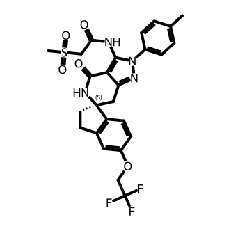 Cc1ccc(-n2nc3c(c2NC(=O)CS(C)(=O)=O)C(=O)N[C@@]2(CCc4cc(OCC(F)(F)F)ccc42)C3)cc1